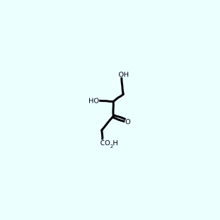 O=C(O)CC(=O)C(O)CO